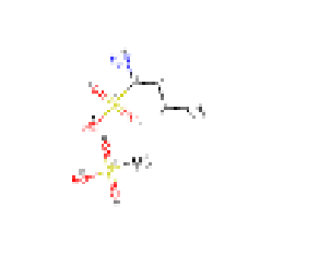 CCCC(N)S(=O)(=O)O.CS(=O)(=O)O